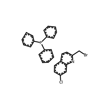 Clc1ccc2ccc(CBr)nc2c1.c1ccc(P(c2ccccc2)c2ccccc2)cc1